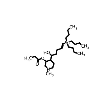 CCC[CH2][Sn]([CH]=CCCC(O)C1CCN(C)CC1OC(=O)CC)([CH2]CCC)[CH2]CCC